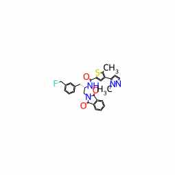 Cc1sc(C(=O)N[C@@H](Cc2cccc(CF)c2)CN2C(=O)c3ccccc3C2=O)cc1-c1ccnn1C